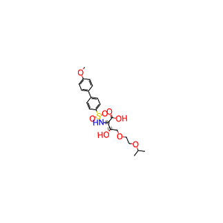 COc1ccc(-c2ccc(S(=O)(=O)N[C@@H](C(=O)O)[C@H](O)COCCOC(C)C)cc2)cc1